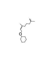 C=C(C)CCCC(C)=CCOC1CCCCC1